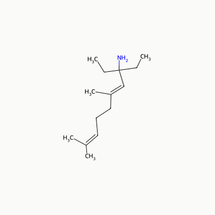 CCC(N)(/C=C(\C)CCC=C(C)C)CC